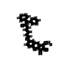 C=c1c(=O)[nH]c2n1Cc1cc(OCCCCCC(=O)N(C3CCCCC3)C3CCCCC3)ccc1N=2